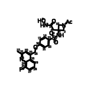 CC(=O)N1CC(CC(=O)NO)(NS(=O)(=O)c2ccc(OCc3cc(C)nc4c(F)cccc34)cc2)C1